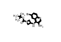 CC(C)(C)OC(=O)N1CC(Nc2c(N)cnc3ccc(Br)cc23)C1